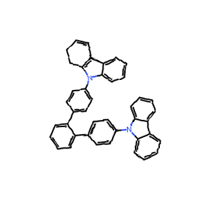 C1=Cc2c(n(-c3ccc(-c4ccccc4-c4ccc(-n5c6ccccc6c6ccccc65)cc4)cc3)c3ccccc23)CC1